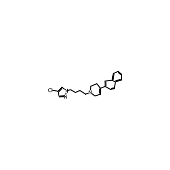 Clc1cnn(CCCCN2CC=C(c3ccc4ccccc4c3)CC2)c1